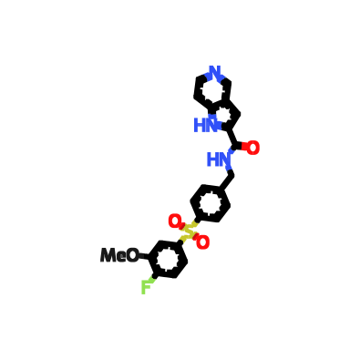 COc1cc(S(=O)(=O)c2ccc(CNC(=O)c3cc4cnccc4[nH]3)cc2)ccc1F